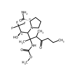 CCCC(=O)C(C)C(C)(NC(=O)OC)C([C@@H](O)C(F)(F)F)N1CCC[C@H]1C(N)=O